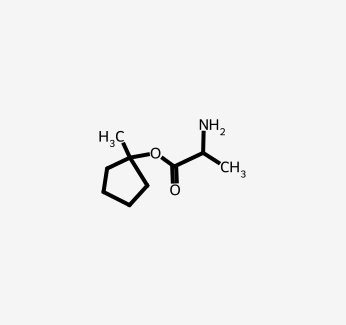 CC(N)C(=O)OC1(C)CCCC1